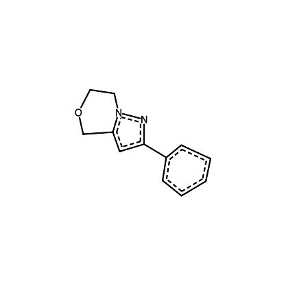 c1ccc(-c2cc3n(n2)CCOC3)cc1